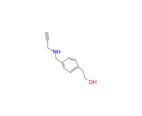 C#CCNCc1ccc(CCO)cc1